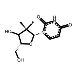 C[C@]1(F)C(O)[C@@H](CO)O[C@H]1n1ccc(=O)[nH]c1=O